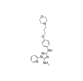 Nc1nc(Nc2ccc(OCCCN3CCOCC3)cc2)nn1-c1ccccn1